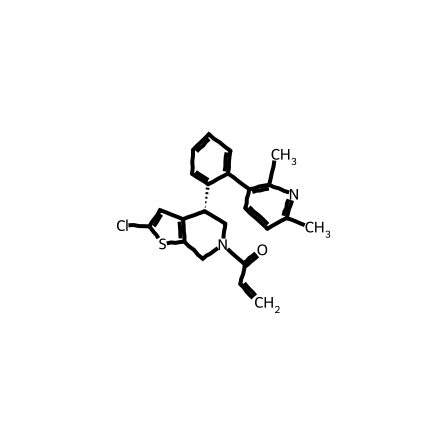 C=CC(=O)N1Cc2sc(Cl)cc2[C@H](c2ccccc2-c2ccc(C)nc2C)C1